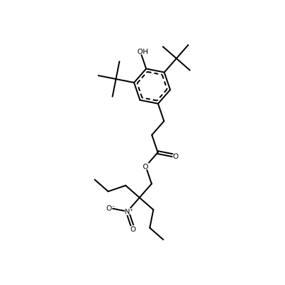 CCCC(CCC)(COC(=O)CCc1cc(C(C)(C)C)c(O)c(C(C)(C)C)c1)[N+](=O)[O-]